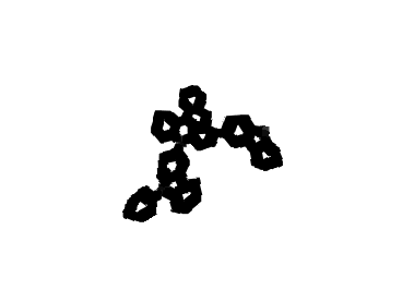 c1ccc(-n2c3ccccc3c3cc(N(c4ccc(-c5ccc6sc7ccccc7c6c5)cc4)c4ccccc4-c4cccc5ccccc45)ccc32)cc1